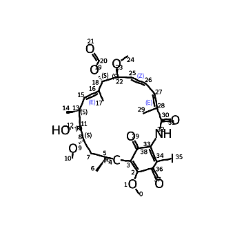 COC1=C2C[C@@H](C)C[C@H](OC)[C@H](O)[C@@H](C)/C=C(\C)[C@H](OC=O)[C@@H](OC)/C=C\C=C(/C)C(=O)NC(=C(I)C1=O)C2=O